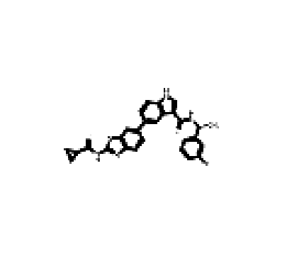 C[C@H](NC(=O)c1c[nH]c2ccc(-c3ccc4nc(NC(=O)C5CC5)sc4c3)cc12)c1cccc(F)c1